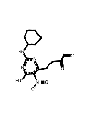 Cc1nc(NC2CCCCC2)nc(CCC(=O)C=O)c1[N+](=O)[O-]